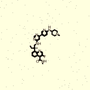 CC[C@](C)(CNc1cc(-c2ccc(NC3CCN(C)CC3)nc2)ncn1)c1cccc2c(C(=O)NC)c(F)cnc12